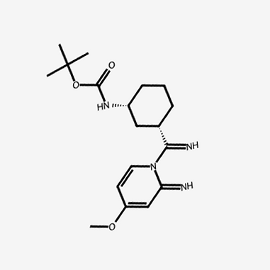 COc1ccn(C(=N)[C@H]2CCC[C@@H](NC(=O)OC(C)(C)C)C2)c(=N)c1